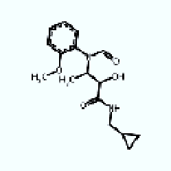 COc1ccccc1N(C=O)C(C)C(O)C(=O)NCC1CC1